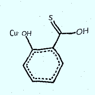 OC(=S)c1ccccc1O.[Cu]